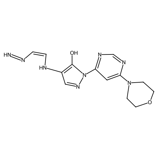 N=N/C=C\Nc1cnn(-c2cc(N3CCOCC3)ncn2)c1O